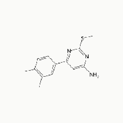 CSc1nc(N)cc(-c2ccc(C)c(C)c2)n1